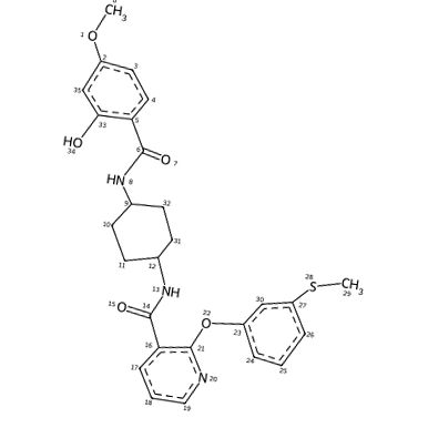 COc1ccc(C(=O)NC2CCC(NC(=O)c3cccnc3Oc3cccc(SC)c3)CC2)c(O)c1